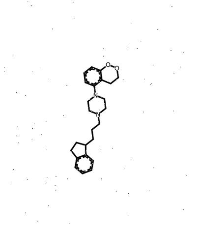 c1ccc2c(c1)CCC2CCCN1CCN(c2cccc3c2CCOO3)CC1